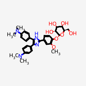 COc1cc(-c2nc(-c3ccc(N(C)C)cc3)c(-c3ccc(N(C)C)cc3)[nH]2)ccc1O[C@@H]1O[C@H](CO)[C@H](O)[C@H](O)[C@H]1O